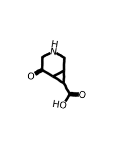 O=C(O)C1C2CNCC(=O)C21